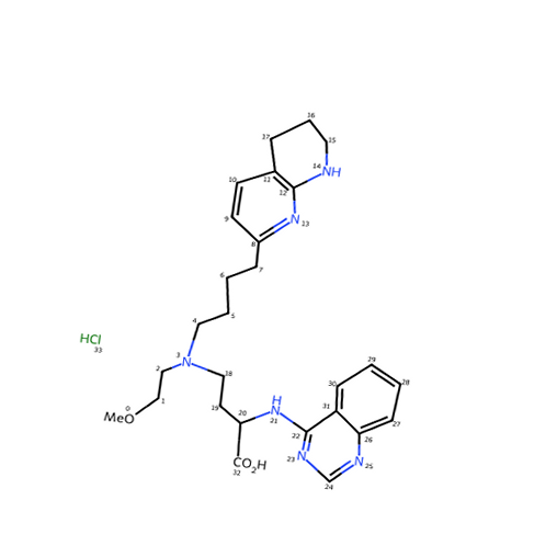 COCCN(CCCCc1ccc2c(n1)NCCC2)CCC(Nc1ncnc2ccccc12)C(=O)O.Cl